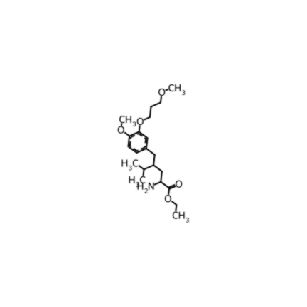 CCOC(=O)C(N)CC(Cc1ccc(OC)c(OCCCOC)c1)C(C)C